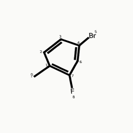 [CH2]c1ccc(Br)cc1F